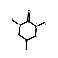 CC1CN(C)C(=O)N(C)C1